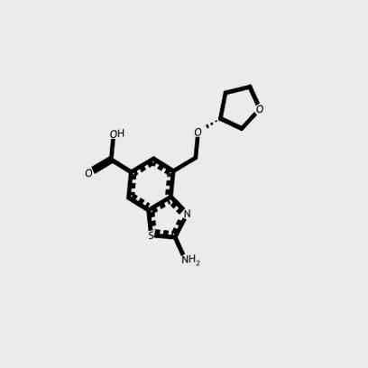 Nc1nc2c(CO[C@@H]3CCOC3)cc(C(=O)O)cc2s1